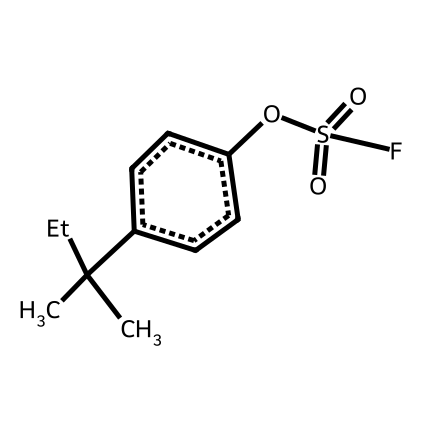 CCC(C)(C)c1ccc(OS(=O)(=O)F)cc1